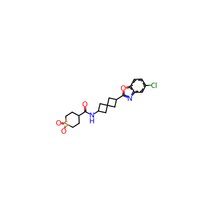 O=C(NC1CC2(C1)CC(c1nc3cc(Cl)ccc3o1)C2)C1CCS(=O)(=O)CC1